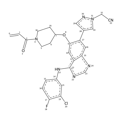 C=CC(=O)N1CCC(Oc2cc3c(Nc4ccc(F)c(Cl)c4)ncnc3cc2-c2cnn(CC#N)c2)CC1